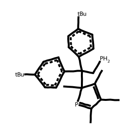 CC1=PC(C)(C(CP)(c2ccc(C(C)(C)C)cc2)c2ccc(C(C)(C)C)cc2)C(C)=C1C